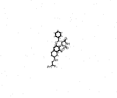 CC(C)C(F)CNC1CCc2cc(OCc3ccccc3)c(N3CC(=O)NS3(=O)=O)c(F)c2C1